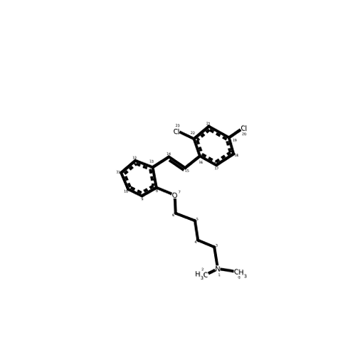 CN(C)CCCCOc1ccccc1C=Cc1ccc(Cl)cc1Cl